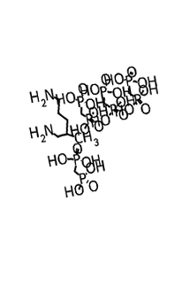 CC(CN)CCCN.O=P(O)(O)CP(=O)(O)O.O=P(O)(O)CP(=O)(O)O.O=P(O)(O)CP(=O)(O)O.O=P(O)(O)CP(=O)(O)O